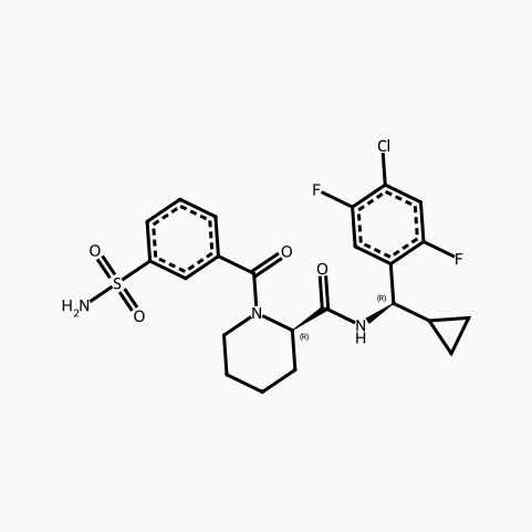 NS(=O)(=O)c1cccc(C(=O)N2CCCC[C@@H]2C(=O)N[C@@H](c2cc(F)c(Cl)cc2F)C2CC2)c1